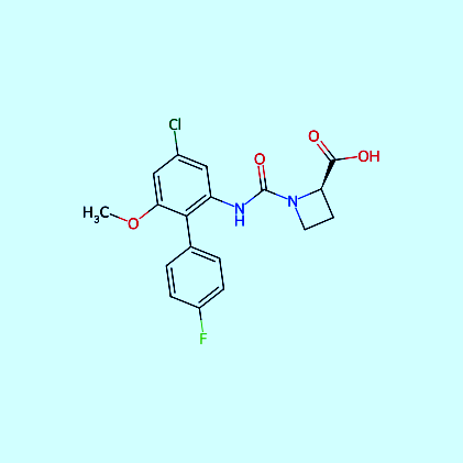 COc1cc(Cl)cc(NC(=O)N2CC[C@@H]2C(=O)O)c1-c1ccc(F)cc1